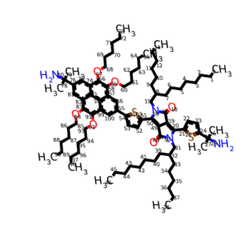 CCCCCCCCC(CCCCCC)CN1C(=O)C2=C(c3ccc(C(C)(C)N)s3)N(CC(CCCCCC)CCCCCCCC)C(=O)C2=C1c1ccc(-c2cc3c(OCCCCCC)c(OCCCCCC)c4cc(C(C)(C)N)cc5c(OCCCCCC)c(OCCCCCC)c(c2)c3c45)s1